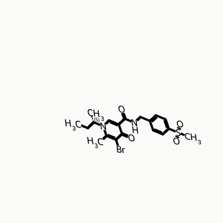 CC[C@H](C)n1cc(C(=O)NCc2ccc(S(C)(=O)=O)cc2)c(=O)c(Br)c1C